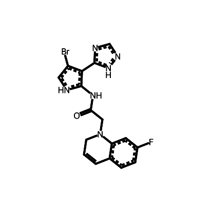 O=C(CN1CC=Cc2ccc(F)cc21)Nc1[nH]cc(Br)c1-c1ncn[nH]1